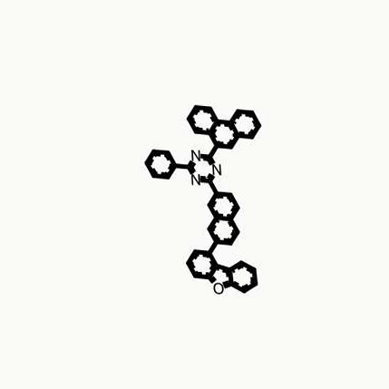 c1ccc(-c2nc(-c3ccc4ccc(-c5cccc6oc7ccccc7c56)cc4c3)nc(-c3cc4ccccc4c4ccccc34)n2)cc1